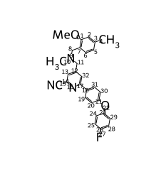 COc1cc(C)ccc1CN(C)Cc1cc(C#N)nc(-c2ccc(Oc3ccc(F)cc3)cc2)c1